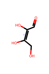 O=C/C(O)=C(/O)CO